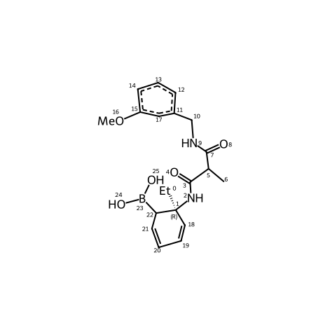 CC[C@]1(NC(=O)C(C)C(=O)NCc2cccc(OC)c2)C=CC=CC1B(O)O